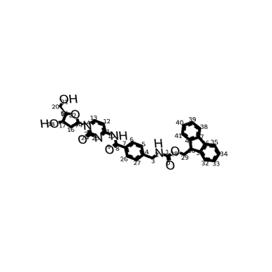 O=C(NCc1ccc(C(=O)Nc2ccn([C@H]3CC(O)[C@@H](CO)O3)c(=O)n2)cc1)OCC1c2ccccc2-c2ccccc21